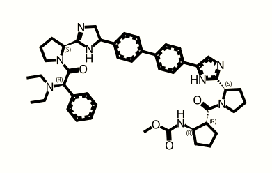 CCN(CC)[C@@H](C(=O)N1CCC[C@H]1C1=NCC(c2ccc(-c3ccc(-c4cnc([C@@H]5CCCN5C(=O)[C@@H]5CCC[C@H]5NC(=O)OC)[nH]4)cc3)cc2)N1)c1ccccc1